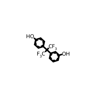 Oc1ccc(C(c2cccc(O)c2)(C(F)(F)F)C(F)(F)F)cc1